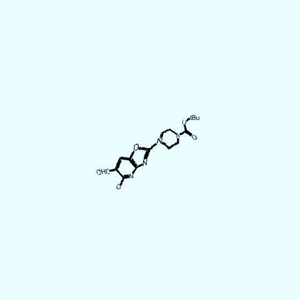 CC(C)(C)OC(=O)N1CCN(c2nc3nc(Cl)c(C=O)cc3o2)CC1